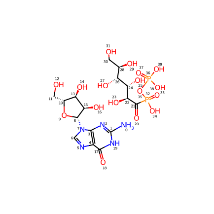 Nc1nc2c(ncn2[C@@H]2O[C@H](CO)[C@@H](O)[C@H]2O)c(=O)[nH]1.O=C([C@@H](O)[C@@H](O)[C@H](O)[C@H](O)CO)P(=O)(O)OP(=O)(O)O